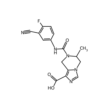 CC1Cn2cnc(C(=O)O)c2CN1C(=O)Nc1ccc(F)c(C#N)c1